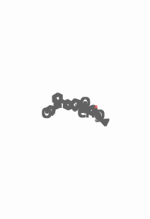 CN(C(=O)c1ccc(OCC2CC2)cc1)[C@H]1CCc2cc(C3CCCCN3CC3CCOCC3)ccc2C1